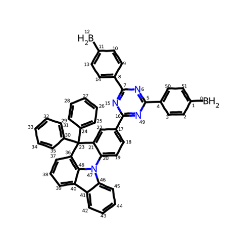 Bc1ccc(-c2nc(-c3ccc(B)cc3)nc(-c3ccc4c(c3)C(c3ccccc3)(c3ccccc3)c3cccc5c6ccccc6n-4c35)n2)cc1